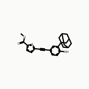 COC(=O)c1ccc(C#Cc2ccc(O)c(C34CC5CC(CC(C5)C3)C4)c2)s1